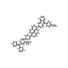 CCC1(CC)c2cc(-c3ccc4ccc5c(-c6ccc7c(c6)c6ccccc6n7-c6ccc(C(C)(C)C)cc6)ccc6ccc3c4c65)ccc2-c2ccc(N(c3ccccc3)c3ccccc3)cc21